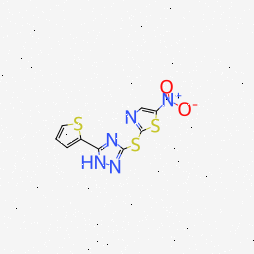 O=[N+]([O-])c1cnc(Sc2n[nH]c(-c3cccs3)n2)s1